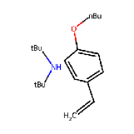 C=Cc1ccc(OCCCC)cc1.CC(C)(C)NC(C)(C)C